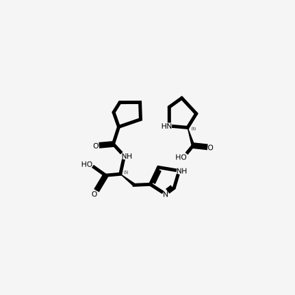 O=C(N[C@@H](Cc1c[nH]cn1)C(=O)O)C1CCCC1.O=C(O)[C@@H]1CCCN1